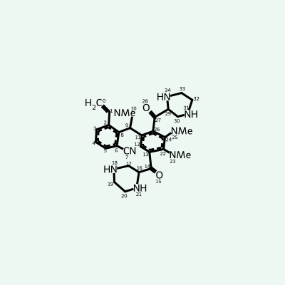 C=Cc1cccc(C#N)c1C(NC)c1cc(C(=O)C2CNCCN2)c(NC)c(NC)c1C(=O)C1CNCCN1